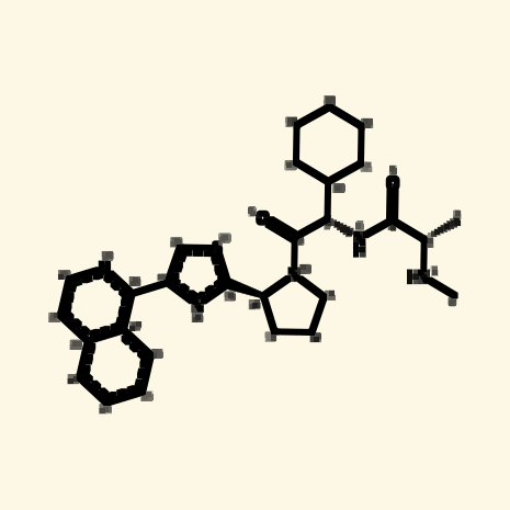 CN[C@@H](C)C(=O)N[C@H](C(=O)N1CCC[C@H]1c1nc(-c2nccc3ccccc23)cs1)C1CCCCC1